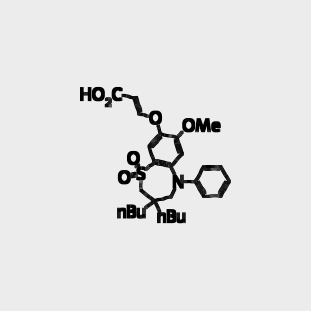 CCCCC1(CCCC)CN(c2ccccc2)c2cc(OC)c(O/C=C/C(=O)O)cc2S(=O)(=O)C1